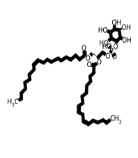 CCCCC/C=C\C/C=C\CCCCCCCC(=O)O[C@H](COC(=O)CCCCCCCCC/C=C\CCCCCCCC)COP(=O)(O)OC1C(O)C(O)C(O)[C@@H](O)C1O